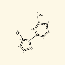 CSc1nccc(-c2occc2C)n1